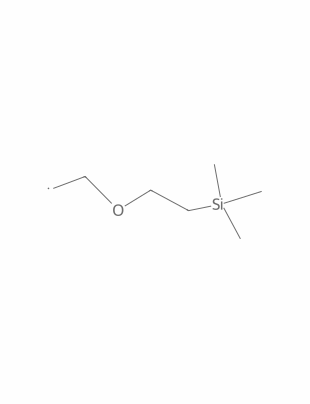 [CH2]COCC[Si](C)(C)C